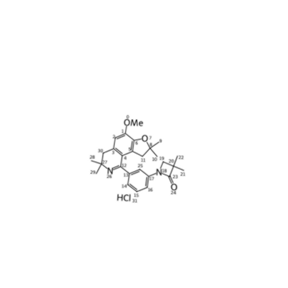 COc1cc2c(c3c1OC(C)(C)C3)C(c1cccc(N3CC(C)(C)C3=O)c1)=NC(C)(C)C2.Cl